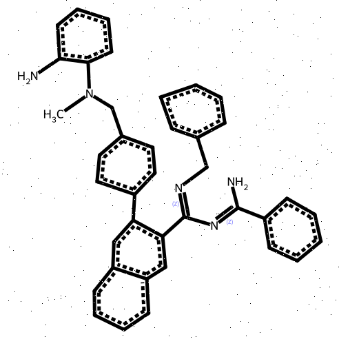 CN(Cc1ccc(-c2cc3ccccc3cc2C(/N=C(\N)c2ccccc2)=N/Cc2ccccc2)cc1)c1ccccc1N